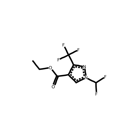 CCOC(=O)c1cn(C(F)F)nc1C(F)(F)F